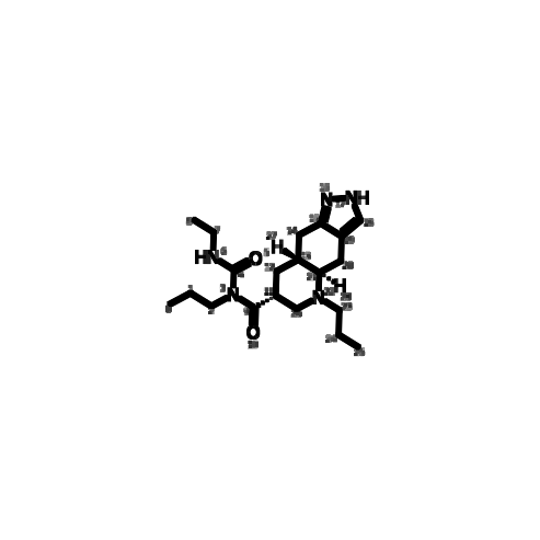 CCCN(C(=O)NCC)C(=O)[C@@H]1C[C@@H]2Cc3n[nH]cc3C[C@H]2N(CCC)C1